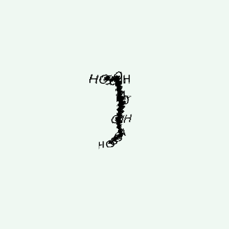 O=C(NCSCSC/N=C/[S+]([O-])CSCSCSC(=O)NCSCSC/N=C\OOCSCO)OCSCO